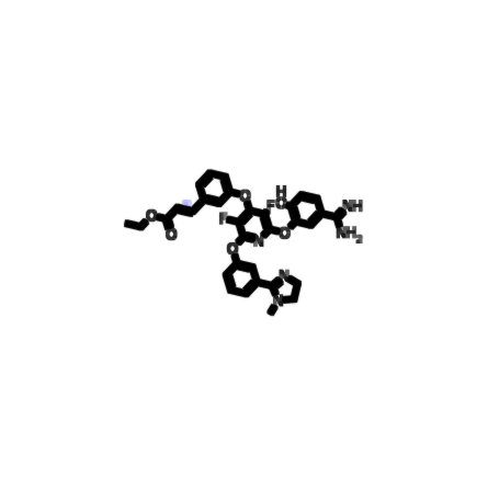 CCOC(=O)/C=C/c1cccc(Oc2c(F)c(Oc3cccc(C4=NCCN4C)c3)nc(Oc3cc(C(=N)N)ccc3O)c2F)c1